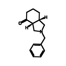 O=C1CCC[C@@H]2CN(Cc3ccccc3)C[C@H]12